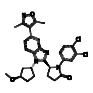 CO[C@@H]1CC[C@@H](n2c([C@@H]3CCC(=O)N3c3ccc(Cl)c(Cl)c3)nc3cc(-c4c(C)noc4C)ccc32)C1